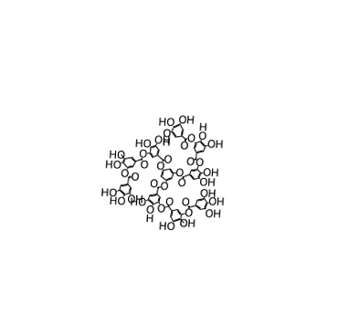 O=C(Oc1cc(OC(=O)c2cc(O)c(O)c(OC(=O)c3cc(O)c(O)c(OC(=O)c4cc(O)c(O)c(O)c4)c3)c2)cc(OC(=O)c2cc(O)c(O)c(OC(=O)c3cc(O)c(O)c(OC(=O)c4cc(O)c(O)c(O)c4)c3)c2)c1)c1cc(O)c(O)c(OC(=O)c2cc(O)c(O)c(OC(=O)c3cc(O)c(O)c(O)c3)c2)c1